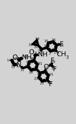 Cc1cc(C(NC(=O)c2cc(Cn3ccoc3=N)cc(-c3ccc(F)cc3OC(F)F)c2)C2CC2)ccc1F